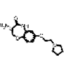 N[C@H]1COc2ccc(OCCN3CCCC3)cc2NC1=O